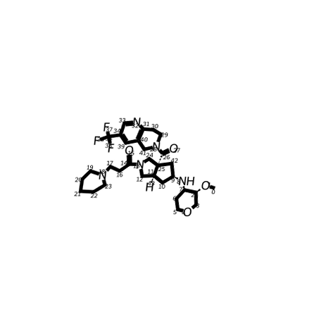 CO[C@@H]1COCC[C@@H]1N[C@@H]1C[C@H]2CN(C(=O)CCN3CCCCC3)C[C@@]2(C(=O)N2CCc3ncc(C(F)(F)F)cc3C2)C1